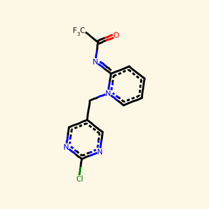 O=C(N=c1ccccn1Cc1cnc(Cl)nc1)C(F)(F)F